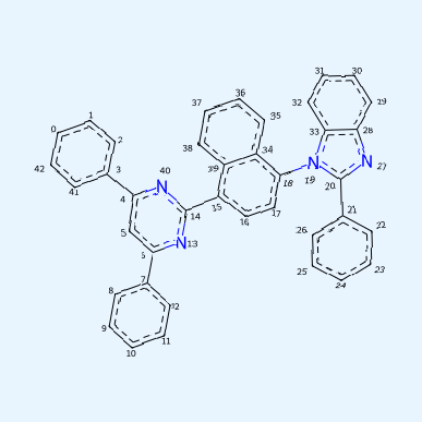 c1ccc(-c2cc(-c3ccccc3)nc(-c3ccc(-n4c(-c5ccccc5)nc5ccccc54)c4ccccc34)n2)cc1